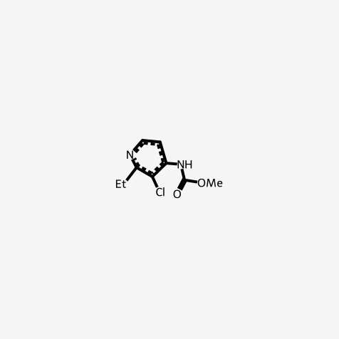 CCc1nccc(NC(=O)OC)c1Cl